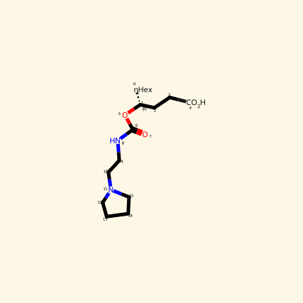 CCCCCC[C@H](CCC(=O)O)OC(=O)NCCN1CCCC1